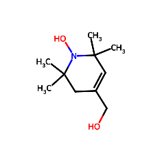 CC1(C)C=C(CO)CC(C)(C)N1O